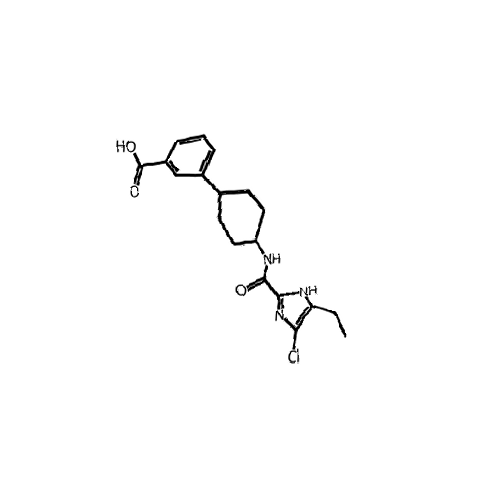 CCc1[nH]c(C(=O)NC2CCC(c3cccc(C(=O)O)c3)CC2)nc1Cl